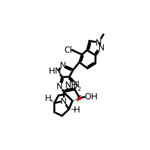 Cn1cc2c(Cl)c(-c3n[nH]c4nc(N5[C@H]6CC[C@@H]5[C@@H](F)[C@@H](N)C6)c(CO)nc34)ccc2n1